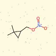 CC1(C)[CH]C1CO[N+](=O)[O-]